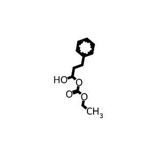 CCOC(=O)OC(O)CCc1ccccc1